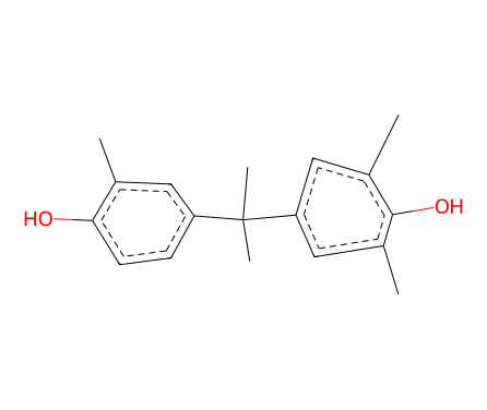 Cc1cc(C(C)(C)c2cc(C)c(O)c(C)c2)ccc1O